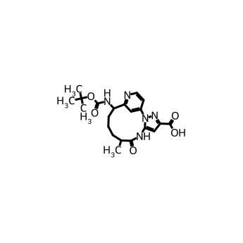 CC1CCCC(NC(=O)OC(C)(C)C)c2cc(ccn2)-n2nc(C(=O)O)cc2NC1=O